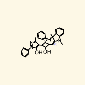 Cc1nn(-c2ccccc2)c(O)c1C1C(O)C(/C=C2/N(C)c3ccccc3C2(C)Cc2ccccc2)C1O